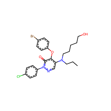 CCCN(CCCCCO)c1cnn(-c2ccc(Cl)cc2)c(=O)c1Oc1ccc(Br)cc1